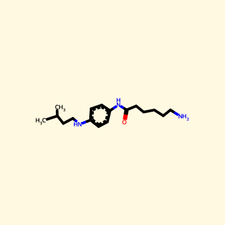 CC(C)CCNc1ccc(NC(=O)CCCCCN)cc1